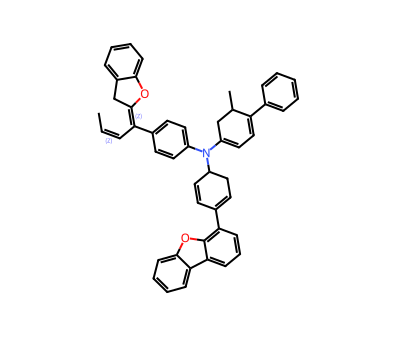 C/C=C\C(=C1/Cc2ccccc2O1)c1ccc(N(C2=CC=C(c3ccccc3)C(C)C2)C2C=CC(c3cccc4c3oc3ccccc34)=CC2)cc1